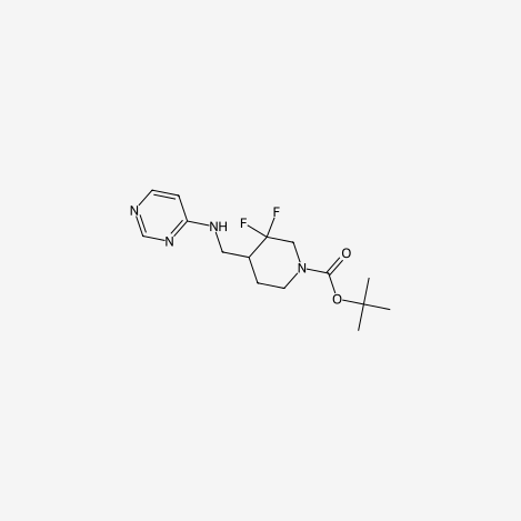 CC(C)(C)OC(=O)N1CCC(CNc2ccncn2)C(F)(F)C1